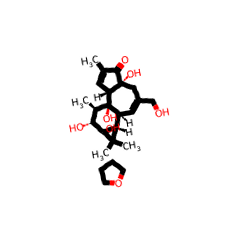 C1CCOC1.CC1=C[C@H]2[C@@]3(O)[C@H](C)[C@@H](O)[C@]4(O)[C@H]([C@@H]3C=C(CO)C[C@]2(O)C1=O)C4(C)C